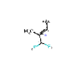 CC(=O)/C=C(\C)C(F)F